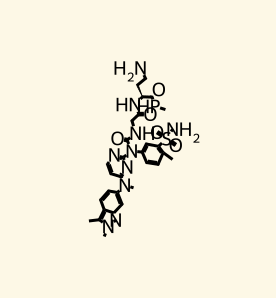 CPC(=O)[C@H](CCN)NC(=O)CNC(=O)N(c1ccc(C)c(S(N)(=O)=O)c1)c1nccc(N(C)c2ccc3c(C)n(C)nc3c2)n1